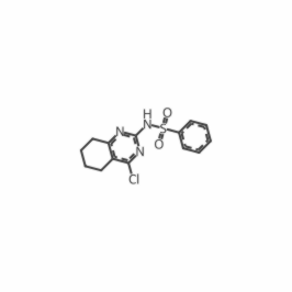 O=S(=O)(Nc1nc(Cl)c2c(n1)CCCC2)c1ccccc1